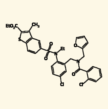 CCOC(=O)c1sc2ccc(S(=O)(=O)N(CC)c3ccc(Cl)cc3CN(Cc3ccco3)C(=O)c3ccccc3Cl)cc2c1C